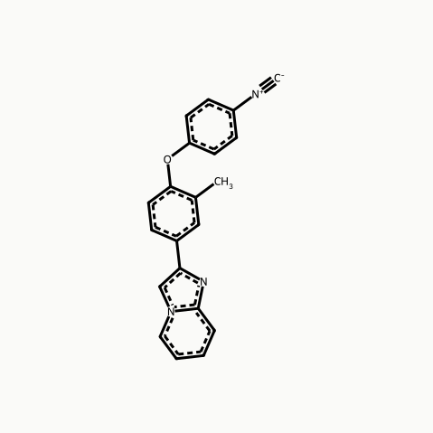 [C-]#[N+]c1ccc(Oc2ccc(-c3cn4ccccc4n3)cc2C)cc1